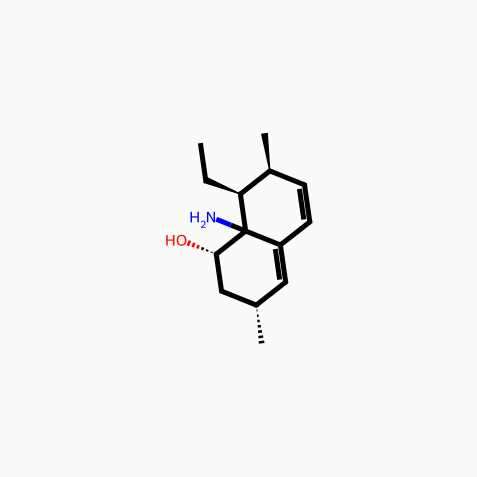 CC[C@H]1[C@@H](C)C=CC2=C[C@H](C)C[C@H](O)C21N